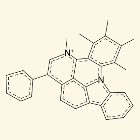 Cc1c(C)c(C)c2c(c1C)c1c3c(ccc4c5ccccc5n2c43)c(-c2ccccc2)c[n+]1C